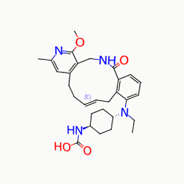 CCN(c1cccc2c1C/C=C/CCc1cc(C)nc(OC)c1CNC2=O)[C@H]1CC[C@H](NC(=O)O)CC1